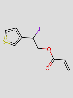 C=CC(=O)OCC(I)c1ccsc1